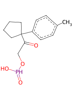 Cc1ccc(C2(C(=O)CO[PH](=O)O)CCCC2)cc1